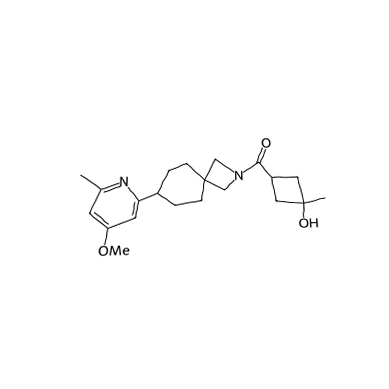 COc1cc(C)nc(C2CCC3(CC2)CN(C(=O)C2CC(C)(O)C2)C3)c1